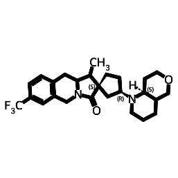 CC1C2Cc3ccc(C(F)(F)F)cc3CN2C(=O)[C@]12CC[C@@H](N1CCCC3COCC[C@@H]31)C2